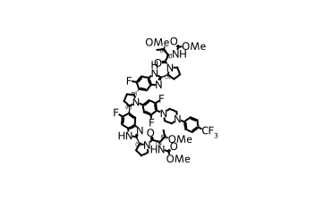 COC(=O)N[C@H](C(=O)N1CCC[C@H]1c1nc2cc([C@H]3CC[C@H](c4cc5nc([C@@H]6CCCN6C(=O)[C@@H](NC(=O)OC)[C@@H](C)OC)[nH]c5cc4F)N3c3cc(F)c(N4CCN(c5ccc(C(F)(F)F)cc5)CC4)c(F)c3)c(F)cc2[nH]1)[C@@H](C)OC